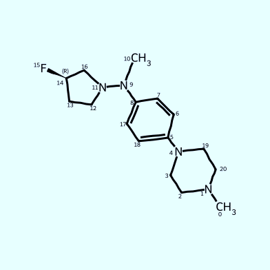 CN1CCN(c2ccc(N(C)N3CC[C@@H](F)C3)cc2)CC1